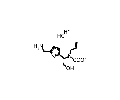 C=CCN(C(=O)[O-])[C@H](CO)c1ccc(CN)s1.Cl.[H+]